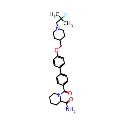 CC(C)(F)CN1CCC(COc2ccc(-c3ccc(C(=O)N4CCCCC4C(N)=O)cc3)cc2)CC1